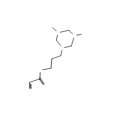 C=CC(=O)OCCCN1CN(C)CN(C)C1